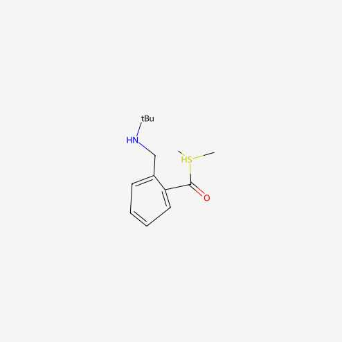 C[SH](C)C(=O)c1ccccc1CNC(C)(C)C